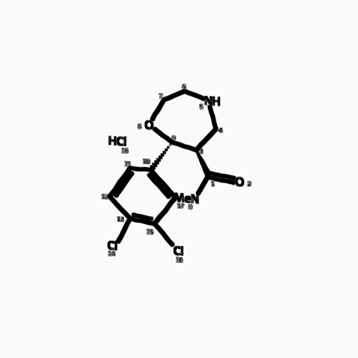 CNC(=O)[C@@H]1CNCCO[C@H]1c1ccc(Cl)c(Cl)c1.Cl